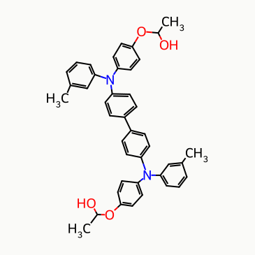 Cc1cccc(N(c2ccc(OC(C)O)cc2)c2ccc(-c3ccc(N(c4ccc(OC(C)O)cc4)c4cccc(C)c4)cc3)cc2)c1